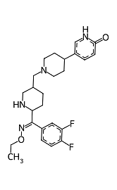 CCO/N=C(\c1ccc(F)c(F)c1)C1CCC(CN2CCC(c3ccc(=O)[nH]c3)CC2)CN1